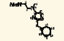 CNCCN(C)c1nc(Cc2ccccc2)ns1